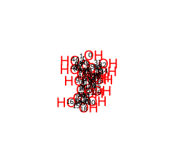 OC[C@H]1O[C@H]([C@]2(O[C@@H]3[C@@H](O)[C@@H](O[C@H]4O[C@H](CO)[C@@H](O)[C@H](O)[C@H]4O)O[C@H](CO)[C@H]3O)O[C@H](CO)[C@@H](O)[C@H](O)[C@H]2O)[C@H](O)[C@@H](O)[C@@H]1O